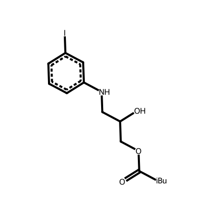 CCC(C)C(=O)OCC(O)CNc1cccc(I)c1